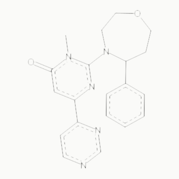 Cn1c(N2CCOCCC2c2ccccc2)nc(-c2ccncn2)cc1=O